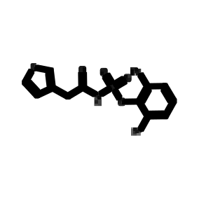 CC(C)c1cccc(C(C)C)c1OS(=O)(=O)NC(=O)Cc1ccsc1